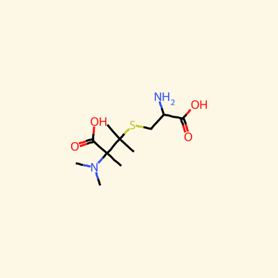 CN(C)C(C)(C(=O)O)C(C)(C)SCC(N)C(=O)O